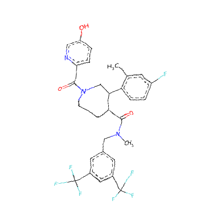 Cc1cc(F)ccc1C1CN(C(=O)c2ccc(O)cn2)CCC1C(=O)N(C)Cc1cc(C(F)(F)F)cc(C(F)(F)F)c1